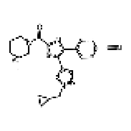 C[C@@H]1CCCN(C(=O)c2nc(-c3ccc(C#N)cc3)c(-c3cnn(CC4CC4)c3)s2)C1